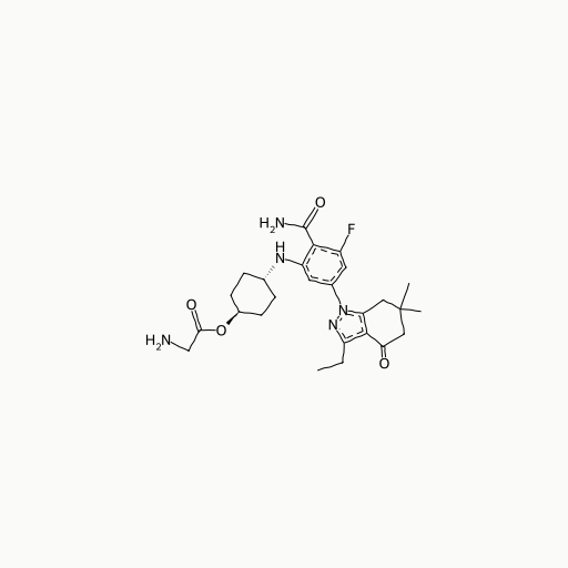 CCc1nn(-c2cc(F)c(C(N)=O)c(N[C@H]3CC[C@H](OC(=O)CN)CC3)c2)c2c1C(=O)CC(C)(C)C2